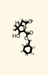 CC1(C)C(O)C(C(=O)OCc2ccccc2)N2C(=O)C[C@@H]21